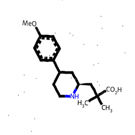 COc1ccc(C2CCN[C@H](CC(C)(C)C(=O)O)C2)cc1